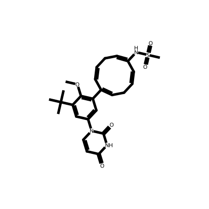 COc1c(C2=C/C/C=C\C(NS(C)(=O)=O)=C/C/C=C\2)cc(-n2ccc(=O)[nH]c2=O)cc1C(C)(C)C